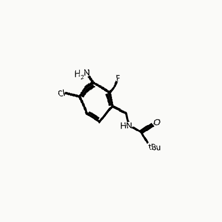 CC(C)(C)C(=O)NCc1ccc(Cl)c(N)c1F